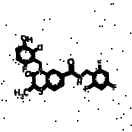 CC1Sc2ccc(C(=O)NCc3c(F)cc(F)cc3F)cc2N(Cc2c(F)ccc(O)c2Cl)C1=O